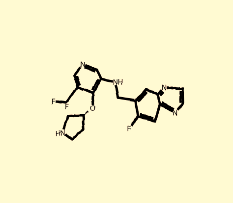 Fc1cc2nccnc2cc1CNc1cncc(C(F)F)c1O[C@@H]1CCNC1